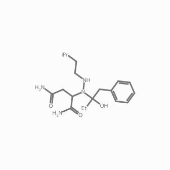 CCC(O)(Cc1ccccc1)N(NCCC(C)C)C(CC(N)=O)C(N)=O